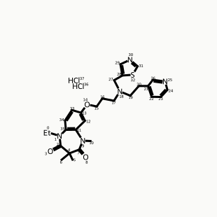 CCN1C(=O)C(C)(C)C(=O)N(C)c2cc(OCCCN(CCc3cccnc3)Cc3cncs3)ccc21.Cl.Cl